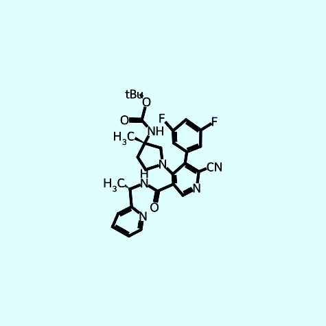 C[C@H](NC(=O)c1cnc(C#N)c(-c2cc(F)cc(F)c2)c1N1CC[C@](C)(NC(=O)OC(C)(C)C)C1)c1ccccn1